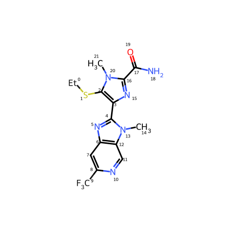 CCSc1c(-c2nc3cc(C(F)(F)F)ncc3n2C)nc(C(N)=O)n1C